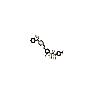 Cc1cc(CCN2CCN(c3nsc4ccccc34)CC2)ccc1NC(=O)Nc1ccc(F)cc1